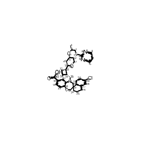 C[C@@H](CSc1ncccn1)O[C@H]1CCO[C@@H]([C@@H]2CC[C@H]2CN2CC3(CCCc4cc(Cl)ccc43)COc3ccc(C(=O)O)cc32)C1